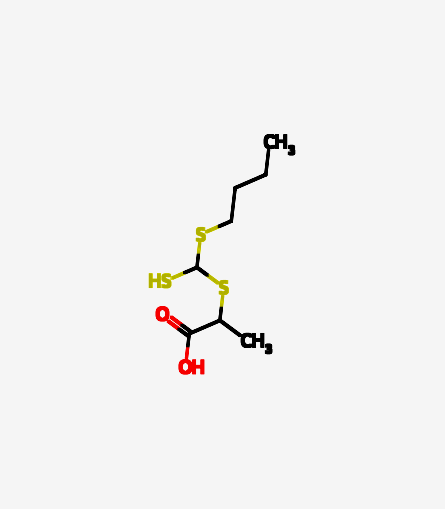 CCCCSC(S)SC(C)C(=O)O